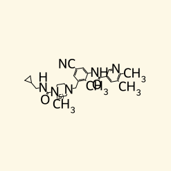 Cc1cc(C(=O)Nc2cc(C#N)cc(CN3CCN(C(=O)NCC4CC4)[C@@H](C)C3)c2C)cnc1C